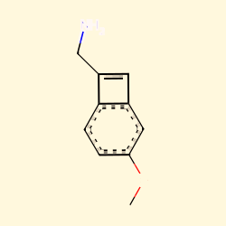 COc1ccc2c(c1)C=C2CN